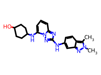 Cc1c2ccc(Nc3nc4cccc(NC5CCC(O)CC5)n4n3)cc2nn1C